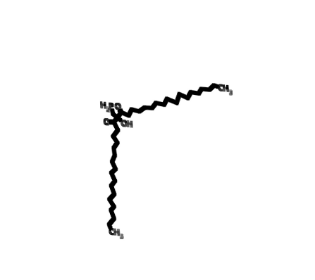 CCCCCCCCCCCCCCCCCC(=O)C(O)(CP)C(=O)CCCCCCCCCCCCCCCCC